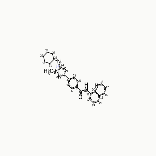 Cn1nc(-c2ccc(C(=O)Nc3cccc4cccnc34)cc2)s/c1=N/C1CCCCC1